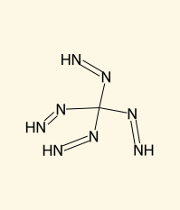 N=NC(N=N)(N=N)N=N